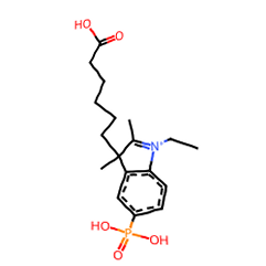 CC[N+]1=C(C)C(C)(CCCCCC(=O)O)c2cc(P(=O)(O)O)ccc21